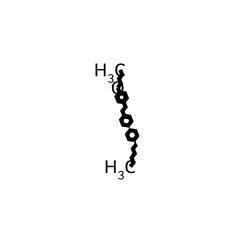 CCCCCC[C@H]1CC[C@H](C2CC=C(CCc3ccc(OCCCC)cc3)CC2)CC1